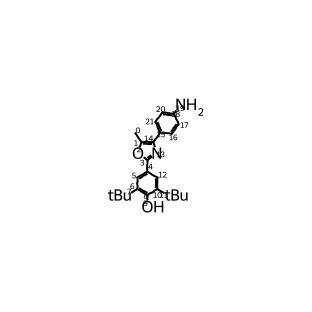 Cc1oc(-c2cc(C(C)(C)C)c(O)c(C(C)(C)C)c2)nc1-c1ccc(N)cc1